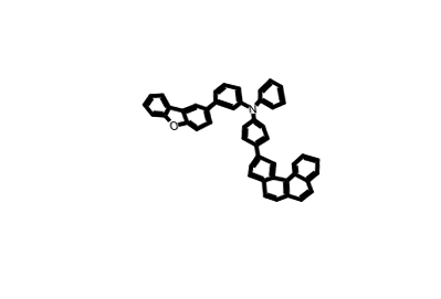 c1ccc(N(c2ccc(-c3ccc4ccc5ccc6ccccc6c5c4c3)cc2)c2cccc(-c3ccc4oc5ccccc5c4c3)c2)cc1